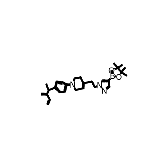 C=CC(=C)C(C)c1ccc(N2CCC(CCn3cc(B4OC(C)(C)C(C)(C)O4)cn3)CC2)cc1